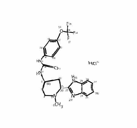 CN1CC[C@@H](NC(=O)Nc2ccc(OC(F)(F)F)cc2)C[C@@H]1c1nc2ccccc2[nH]1.Cl